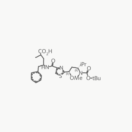 CO[C@H](C[C@H](C(C)C)N(C)C(=O)OC(C)(C)C)c1nc(C(=O)NC(Cc2ccccc2)CC(C)C(=O)O)cs1